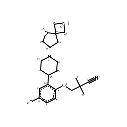 CC(C)(C#N)COc1ccc(F)cc1C1CCN([C@@H]2COC3(CNC3)C2)CC1